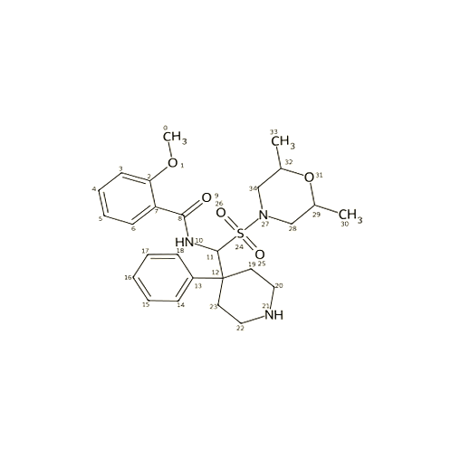 COc1ccccc1C(=O)NC(C1(c2ccccc2)CCNCC1)S(=O)(=O)N1CC(C)OC(C)C1